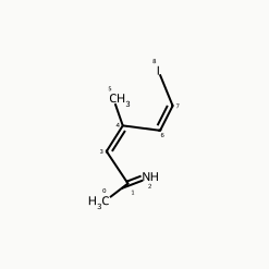 CC(=N)/C=C(C)\C=C/I